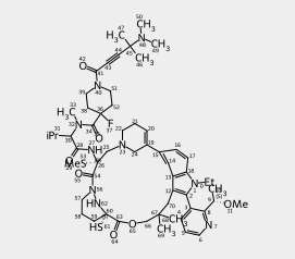 CCn1c(-c2cccnc2[C@H](C)OC)c2c3cc(ccc31)C1=CCCN(C1)C[C@@](NC(=O)C(C(C)C)N(C)C(=O)C1(F)CCN(C(=O)C#CC(C)(C)N(C)C)CC1)(SC)C(=O)N1CCC[C@@](S)(N1)C(=O)OCC(C)(C)C2